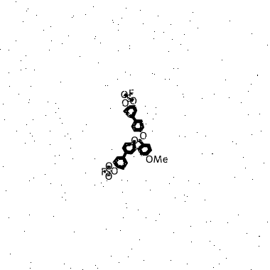 COc1ccc(C(Oc2ccc(-c3ccc(OS(=O)(=O)F)cc3)cc2)Oc2ccc(-c3ccc(OS(=O)(=O)F)cc3)cc2)cc1